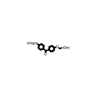 [CH2]CCCCCCCCCCOc1ccc(C(=O)c2ccc(CCCCCCC)cc2)cc1